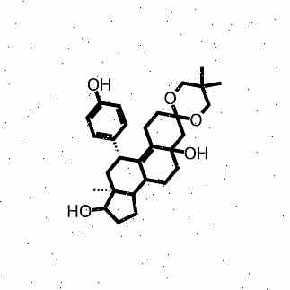 CC1(C)COC2(CCC3=C4C(CCC3(O)C2)C2CCC(O)[C@@]2(C)C[C@@H]4c2ccc(O)cc2)OC1